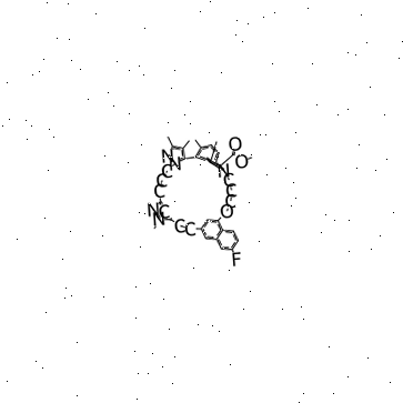 COC(=O)c1c(C)c2c3c(C)ccc2n1CCCOc1cc(cc2cc(F)ccc12)CCc1cc(nn1C)CCCn1nc(C)c(C)c1-3